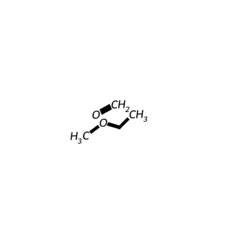 C=O.CCOC